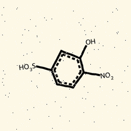 O=[N+]([O-])c1ccc(S(=O)(=O)O)cc1O